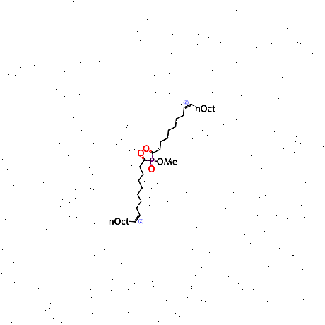 CCCCCCCC/C=C\CCCCCCCC(=O)P(=O)(OC)C(=O)CCCCCCC/C=C\CCCCCCCC